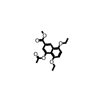 CCOc1ccc(OCC)c2c(OC(C)=O)cc(C(=O)OC)cc12